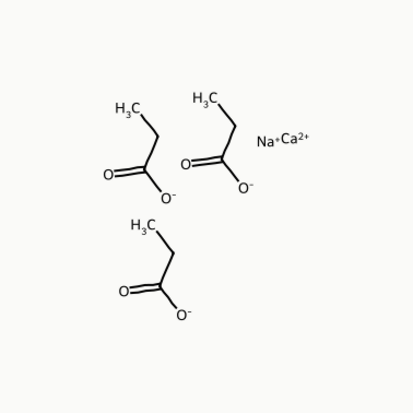 CCC(=O)[O-].CCC(=O)[O-].CCC(=O)[O-].[Ca+2].[Na+]